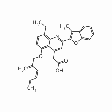 C=C/C=C\C(=C)COc1ccc(CC)c2nc(-c3oc4ccccc4c3C)cc(CC(=O)O)c12